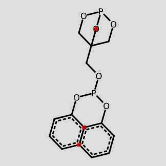 c1ccc(OP(OCC23COP(OC2)OC3)Oc2ccccc2)cc1